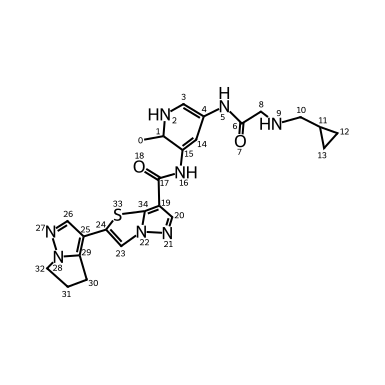 CC1NC=C(NC(=O)CNCC2CC2)C=C1NC(=O)c1cnn2cc(-c3cnn4c3CCC4)sc12